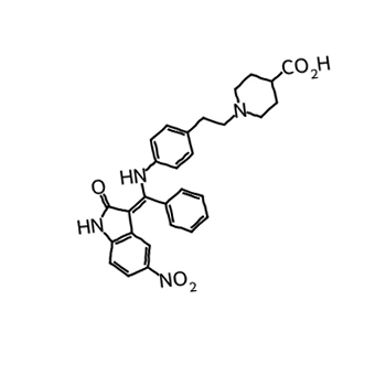 O=C1Nc2ccc([N+](=O)[O-])cc2C1=C(Nc1ccc(CCN2CCC(C(=O)O)CC2)cc1)c1ccccc1